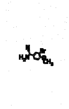 COc1ccc(C(N)C#N)cc1Br